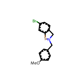 COc1ccc(CN2Cc3ccc(Br)cc3S2)cc1